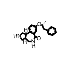 C[C@H](Cc1ccccc1)Oc1ccc2c(c1)C(=O)NC[C@H]1CNC[C@H]21